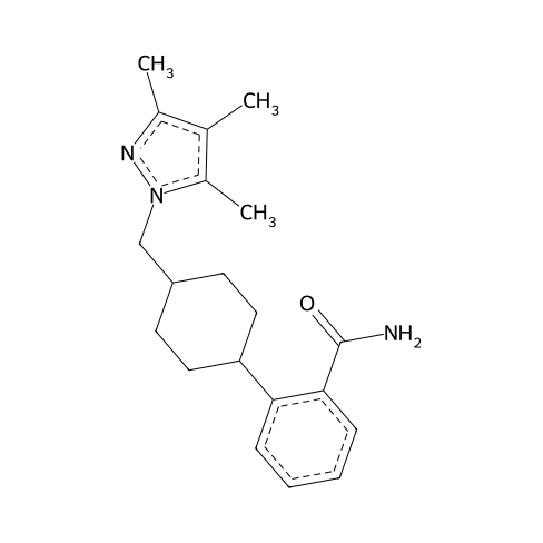 Cc1nn(CC2CCC(c3ccccc3C(N)=O)CC2)c(C)c1C